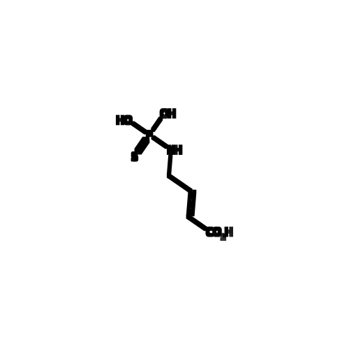 O=C(O)C=CCNP(O)(O)=S